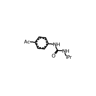 CC(=O)c1ccc(NC(=O)NC(C)C)cc1